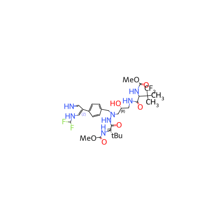 COC(=O)NC(C(=O)NC[C@@H](O)CN(Cc1ccc(/C(C=N)=C/NC(F)F)cc1)NC(=O)[C@@H](NC(=O)OC)C(C)(C)C)C(C)(C)C(F)(F)F